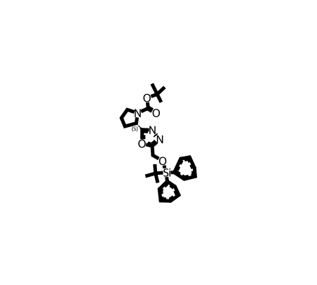 CC(C)(C)OC(=O)N1CCC[C@H]1c1nnc(CO[Si](c2ccccc2)(c2ccccc2)C(C)(C)C)o1